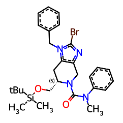 CN(C(=O)N1Cc2nc(Br)n(Cc3ccccc3)c2C[C@H]1CO[Si](C)(C)C(C)(C)C)c1ccccc1